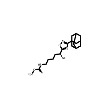 CC(C)(C)OC(=O)NCCCC[C@H](N)c1nc(C23CC4CC(CC(C4)C2)C3)no1